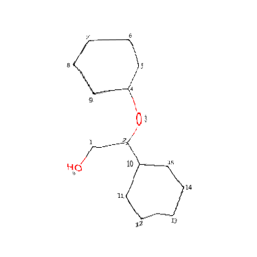 OC[C](OC1CCCCC1)C1CCCCC1